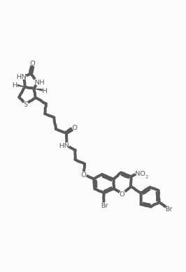 O=C(CCCCC1SC[C@@H]2NC(=O)N[C@H]12)NCCCOc1cc(Br)c2c(c1)C=C([N+](=O)[O-])C(c1ccc(Br)cc1)O2